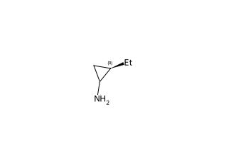 CC[C@@H]1CC1N